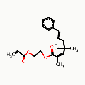 C=CC(=O)OCCOC(=O)C(C)=CC(C)(C)CC=Cc1ccccc1